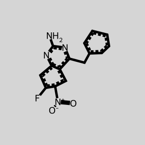 Nc1nc(Cc2ccccc2)c2cc([N+](=O)[O-])c(F)cc2n1